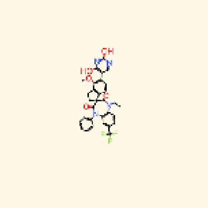 CCN1C(=O)C2(CCc3c2ccc(-c2cnc(O)nc2O)c3OC)C(=O)N(c2ccccc2)c2cc(C(F)(F)F)ccc21